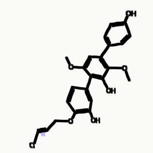 COc1cc(-c2ccc(O)cc2)c(OC)c(O)c1-c1ccc(OC/C=C/Cl)c(O)c1